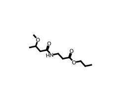 CCCOC(=O)CCNC(=O)CC(C)OC